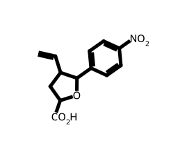 C=CC1CC(C(=O)O)OC1c1ccc([N+](=O)[O-])cc1